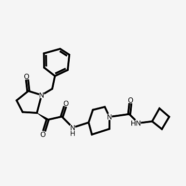 O=C(NC1CCN(C(=O)NC2CCC2)CC1)C(=O)[C@H]1CCC(=O)N1Cc1ccccc1